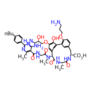 CCCCc1ccc(-c2nc(C)c(C(=O)NCC(=O)N(C)[C@@H]3C(=O)N[C@@H](C)C(=O)N[C@H](C(=O)O)Cc4ccc(OCCCN)c(c4)-c4cc3cc(OC[C@H](O)CN)c4O)c(N)n2)cc1